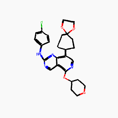 Clc1ccc(Nc2ncc3c(OC4CCOCC4)ncc(C4CCC5(CC4)OCCO5)c3n2)cc1